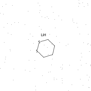 C1CCSSC1.[LiH]